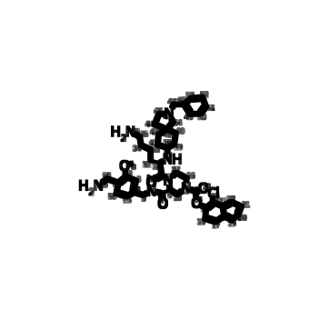 COc1cc(CNC(=O)[C@@H]2CN(C(=O)Oc3ccc4ccccc4c3Cl)CCN2C(=O)[C@@H](CCCCN)NC2CCC3(CC2)CCN(Cc2ccccc2)C3)ccc1CN